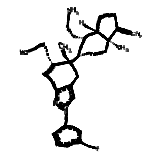 C=C1CC[C@H]2[C@@H](CN)[C@@H]([C@]3(C)Cc4cn(-c5cccc(F)c5)nc4C[C@@H]3CO)CC[C@]12C